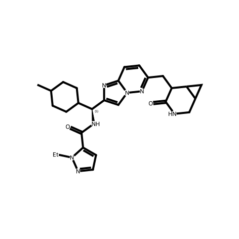 CCn1nccc1C(=O)N[C@H](c1cn2nc(CC3C(=O)NCC4CC43)ccc2n1)C1CCC(C)CC1